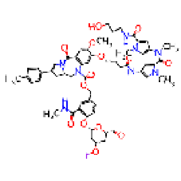 CNC(=O)c1cc(COC(=O)N2CC3CC(c4ccc(C)cc4)=CN3C(=O)c3cc(OC)c(OCCCC(=O)Nc4cc(C(=O)N(C)c5cc(C(=O)NCCCO)n(C)c5)n(C)c4)cc32)ccc1O[C@H]1C[C@@H](OI)C[C@@H](C=O)O1